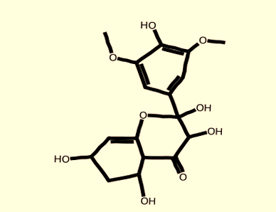 COc1cc(C2(O)OC3=CC(O)CC(O)C3C(=O)C2O)cc(OC)c1O